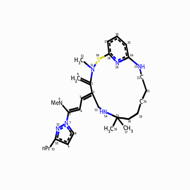 C=C1/C(=C/C=C(\NC)n2ccc(CCC)n2)CNC(C)(C)CCCCCNc2cccc(n2)SN1C